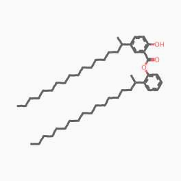 CCCCCCCCCCCCCCCCC(C)c1ccc(O)c(C(=O)Oc2ccccc2C(C)CCCCCCCCCCCCCCCC)c1